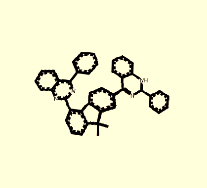 CC1(C)c2cc(C3=NC(c4ccccc4)Nc4ccccc43)ccc2-c2c(-c3nc(-c4ccccc4)c4ccccc4n3)cccc21